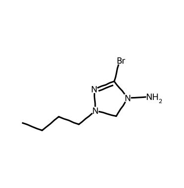 CCCCN1CN(N)C(Br)=N1